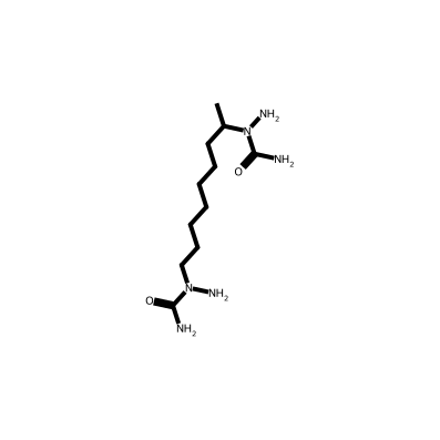 CC(CCCCCCCN(N)C(N)=O)N(N)C(N)=O